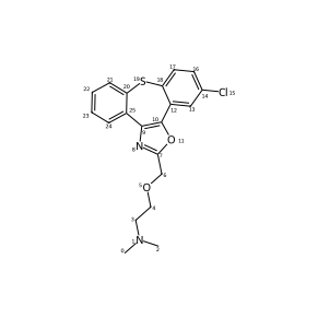 CN(C)CCOCc1nc2c(o1)-c1cc(Cl)ccc1Sc1ccccc1-2